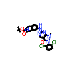 CN1CN(c2c(Cl)cccc2Cl)C(=O)c2cnc(Nc3ccc4c(c3)C3CCC4N3C(=O)OC(C)(C)C)nc21